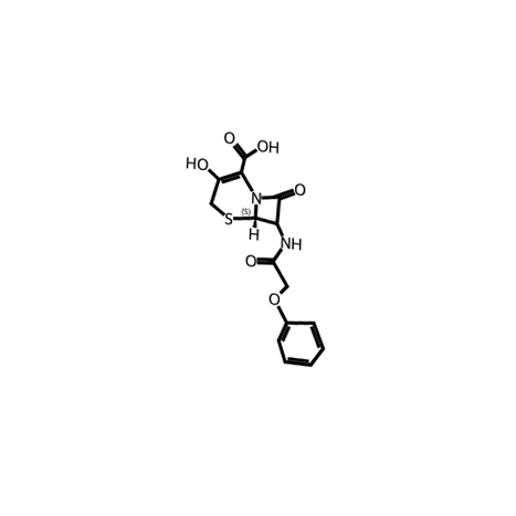 O=C(COc1ccccc1)NC1C(=O)N2C(C(=O)O)=C(O)CS[C@@H]12